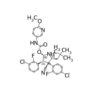 COc1ccc(NC(=O)O[C@H]2N[C@@H](CC(C)(C)C)[C@](C#N)(c3ccc(Cl)cc3F)[C@H]2c2cccc(Cl)c2F)cn1